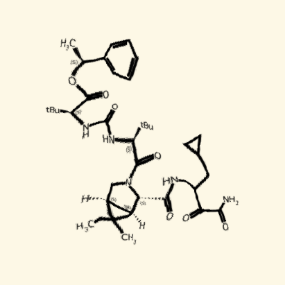 C[C@H](OC(=O)[C@@H](NC(=O)N[C@H](C(=O)N1C[C@H]2[C@@H]([C@H]1C(=O)NC(CC1CC1)C(=O)C(N)=O)C2(C)C)C(C)(C)C)C(C)(C)C)c1ccccc1